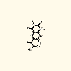 CC(C(=O)O)c1nc2c(=O)n(C)c(=O)n(C)c2nc1Cl